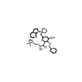 CC(C)N(CCO[Si](C)(C)C(C)(C)C)C(=O)c1nc(CC2(n3ccc4cccnc43)CCCC2)nc(O)c1OCc1ccccc1